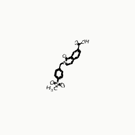 CS(=O)(=O)c1ccc(Cn2ccc3ccc(C(=O)O)cc3c2=O)cc1